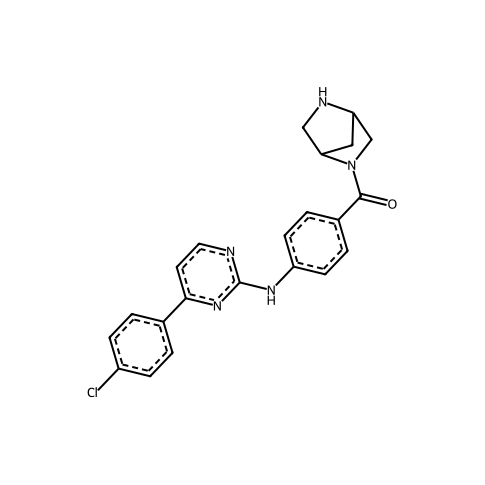 O=C(c1ccc(Nc2nccc(-c3ccc(Cl)cc3)n2)cc1)N1CC2CC1CN2